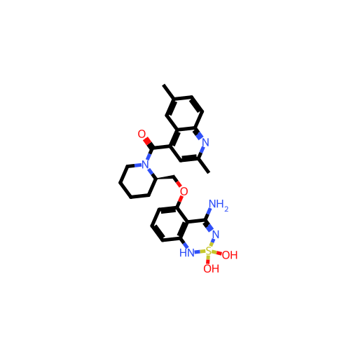 Cc1ccc2nc(C)cc(C(=O)N3CCCC[C@@H]3COc3cccc4c3C(N)=NS(O)(O)N4)c2c1